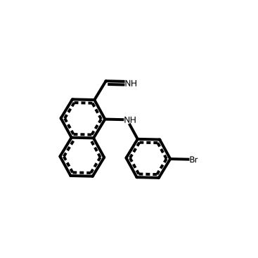 N=Cc1ccc2ccccc2c1Nc1cccc(Br)c1